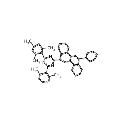 Cc1cc(C)c(-c2nc(-c3c(C)cccc3C)nc(-c3cc4c5ccccc5c(-c5ccccc5)cc4c4ccccc34)n2)c(C)c1